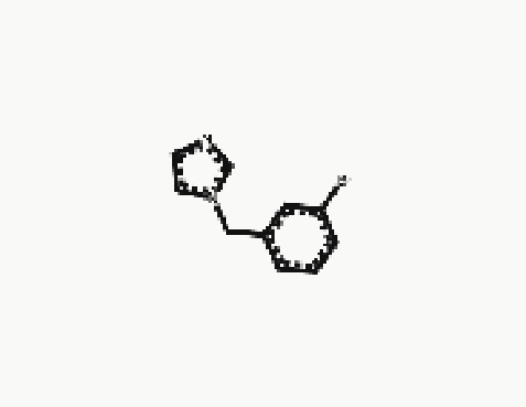 Brc1cccc(Cn2ccnc2)c1